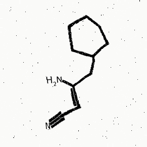 N#CC=C(N)CC1CCCCC1